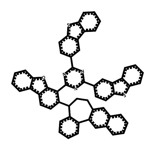 c1ccc2c(c1)-c1cc3ccccc3cc1CCC2c1ccc2c(oc3ccccc32)c1-c1nc(-c2ccc3sc4ccccc4c3c2)nc(-c2ccc3sc4ccccc4c3c2)n1